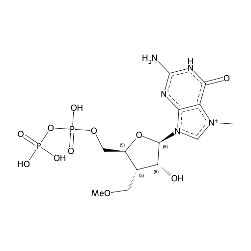 COC[C@H]1[C@@H](O)[C@H](n2c[n+](C)c3c(=O)[nH]c(N)nc32)O[C@@H]1COP(=O)(O)OP(=O)(O)O